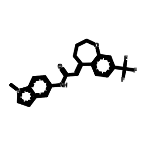 Cn1ccc2cc(NC(=O)C=C3CCCOc4cc(C(F)(F)F)ccc43)ccc21